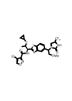 CCc1conc1C(=O)NC(c1nc2cc(C(COC)N3CC(C(F)(F)F)NC3=O)ccc2o1)C(C)OC1CC1